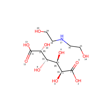 O=C(O)[C@@H](O)[C@H](O)[C@H](O)[C@@H](O)C(=O)O.OCCNCCO